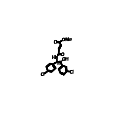 COC(=O)C=CC(=O)N[C@H](c1ccc(Cl)cc1)[C@H](O)c1cccc(Cl)c1